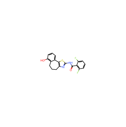 O=C(Nc1nc2c(s1)-c1cccc(O)c1CCC2)c1c(F)cccc1F